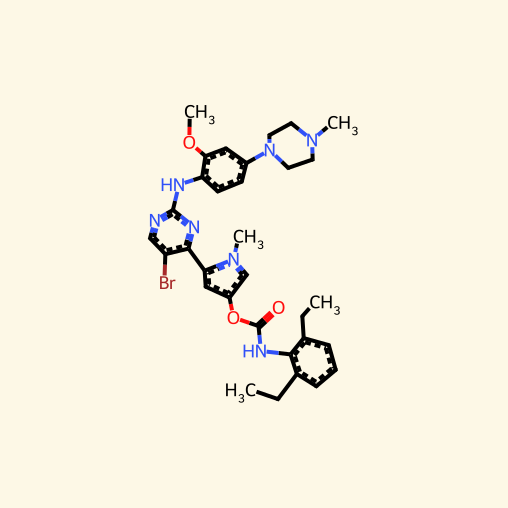 CCc1cccc(CC)c1NC(=O)Oc1cc(-c2nc(Nc3ccc(N4CCN(C)CC4)cc3OC)ncc2Br)n(C)c1